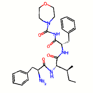 CC[C@H](C)[C@H](NC(=O)[C@@H](N)Cc1ccccc1)C(=O)N[C@@H](Cc1ccccc1)C(=O)NC(=O)N1CCOCC1